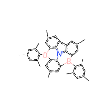 Cc1cc(C)c(B2c3cc(C)cc4c3-n3c5c2cc(C)cc5c2cc(C)cc(c23)B4c2c(C)cc(C)cc2C)c(C)c1